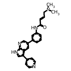 CN(C)CC=CC(=O)Nc1cccc(-c2cnc3[nH]cc(-c4ccncc4)c3c2)c1